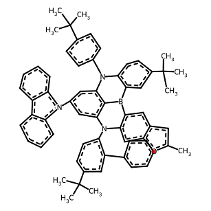 Cc1cc2cc3c(cc2o1)N(c1ccc(C(C)(C)C)cc1-c1ccccc1)c1cc(-n2c4ccccc4c4ccccc42)cc2c1B3c1cc(C(C)(C)C)ccc1N2c1ccc(C(C)(C)C)cc1